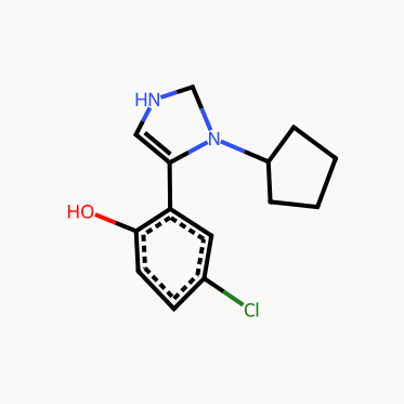 Oc1ccc(Cl)cc1C1=CNCN1C1CCCC1